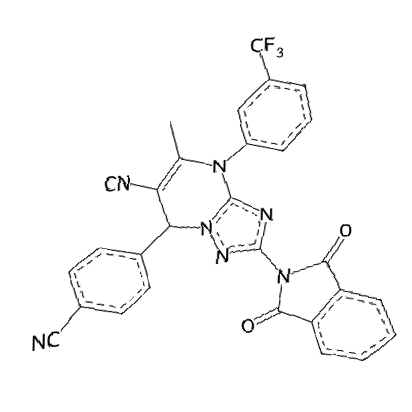 [C-]#[N+]C1=C(C)N(c2cccc(C(F)(F)F)c2)c2nc(N3C(=O)c4ccccc4C3=O)nn2C1c1ccc(C#N)cc1